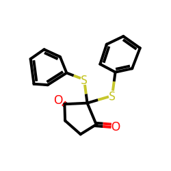 O=C1CCC(=O)C1(Sc1ccccc1)Sc1ccccc1